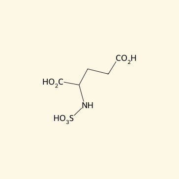 O=C(O)CCC(NS(=O)(=O)O)C(=O)O